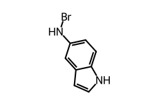 BrNc1ccc2[nH]ccc2c1